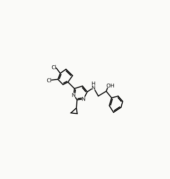 OC(CNc1cc(-c2ccc(Cl)c(Cl)c2)nc(C2CC2)n1)c1ccccc1